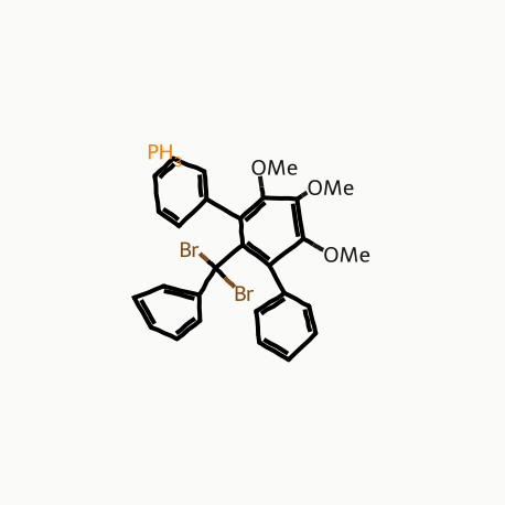 COc1c(OC)c(-c2ccccc2)c(C(Br)(Br)c2ccccc2)c(-c2ccccc2)c1OC.P